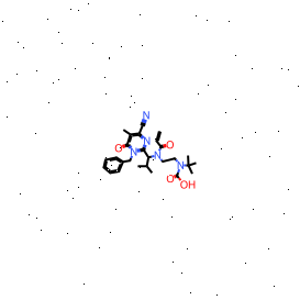 C=CC(=O)N(CCN(C(=O)O)C(C)(C)C)C(c1nc(C#N)c(C)c(=O)n1Cc1ccccc1)C(C)C